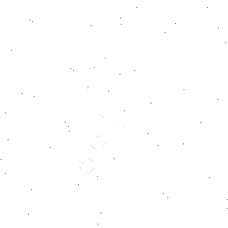 CCCCO[C@@H](C(=O)O)[C@@H](OCCN[C@H](C)c1ccc(-n2cccn2)cc1)C(=O)O